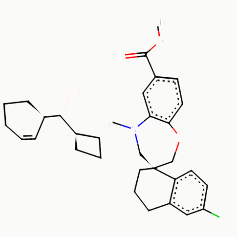 COC(=O)c1ccc2c(c1)N(C[C@@H]1CC[C@H]1[C@@H](O)[C@H]1C=CCCC1)C[C@@]1(CCCc3cc(Cl)ccc31)CO2